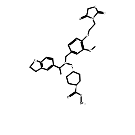 COc1cc(CN(C[C@H]2CC[C@H](C(=O)ON)CC2)C(C)c2ccc3c(c2)CCO3)ccc1OCCN1C(=O)COC1=O